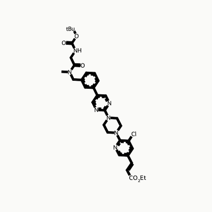 CCOC(=O)/C=C/c1cnc(N2CCN(c3ncc(-c4cccc(CN(C)C(=O)CNC(=O)OC(C)(C)C)c4)cn3)CC2)c(Cl)c1